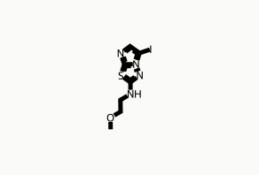 COCCNc1nn2c(I)cnc2s1